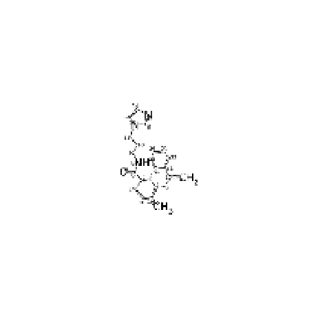 C=C(Cc1cc(C(=O)NCCCn2ccnc2)ccc1C)c1ccccc1